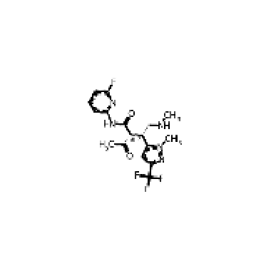 CNC[C@H](c1cc(C(F)(F)F)nn1C)[C@H](C(C)=O)C(=O)Nc1cccc(F)n1